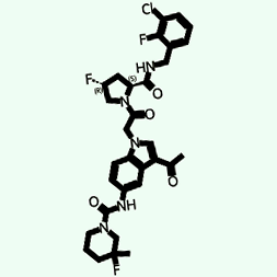 CC(=O)c1cn(CC(=O)N2C[C@H](F)C[C@H]2C(=O)NCc2cccc(Cl)c2F)c2ccc(NC(=O)N3CCCC(C)(F)C3)cc12